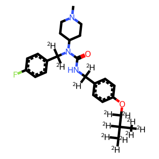 [2H]C([2H])(NC(=O)N(C1CCN(C)CC1)C([2H])([2H])c1ccc(F)cc1)c1ccc(OC([2H])([2H])C([2H])(C([2H])([2H])[2H])C([2H])([2H])[2H])cc1